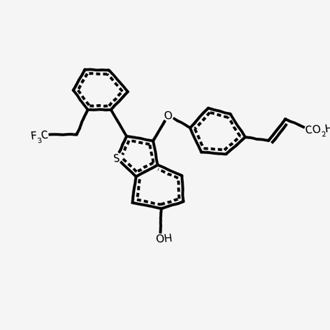 O=C(O)C=Cc1ccc(Oc2c(-c3ccccc3CC(F)(F)F)sc3cc(O)ccc23)cc1